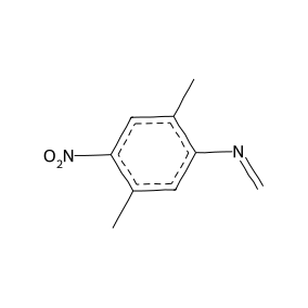 C=Nc1cc(C)c([N+](=O)[O-])cc1C